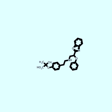 CC(C)(Oc1ccc(CCNCC(Oc2ccccc2)c2nc3ccccc3o2)cc1)C(=O)O